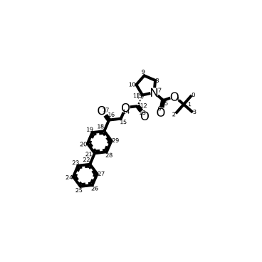 CC(C)(C)OC(=O)N1CCC[C@H]1C(=O)OCC(=O)c1ccc(-c2ccccc2)cc1